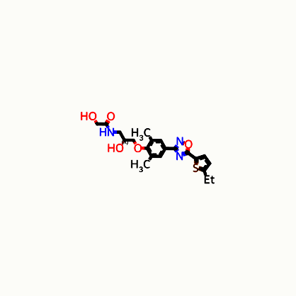 CCc1ccc(-c2nc(-c3cc(C)c(OC[C@H](O)CNC(=O)CO)c(C)c3)no2)s1